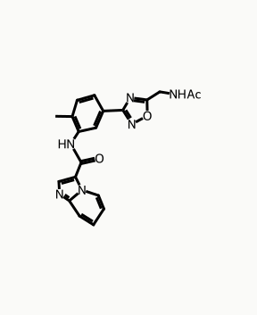 CC(=O)NCc1nc(-c2ccc(C)c(NC(=O)c3cnc4ccccn34)c2)no1